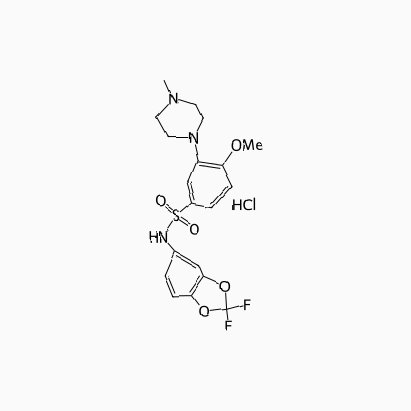 COc1ccc(S(=O)(=O)Nc2ccc3c(c2)OC(F)(F)O3)cc1N1CCN(C)CC1.Cl